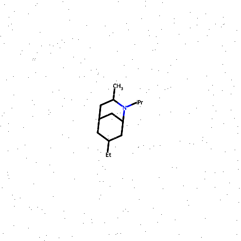 CCC1CC2CC(C)N(C(C)C)C(C1)C2